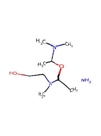 CC(OC(C)N(C)CCO)N(C)C.N